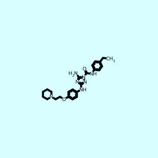 CCc1ccc(NC(=O)n2nc(Nc3ccc(OCCN4CCCCC4)cc3)nc2N)cc1